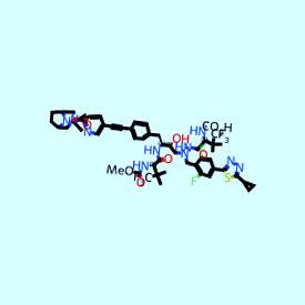 COC(=O)N[C@H](C(=O)N[C@@H](Cc1ccc(C#Cc2ccc(N3CC4CCC(C3)N4C3COC3)nc2)cc1)[C@@H](O)CN(Cc1c(F)cc(-c2nnc(C3CC3)s2)cc1F)NC(=O)[C@@H](NC(=O)O)C(C)(C)C(F)(F)F)C(C)(C)C(F)(F)F